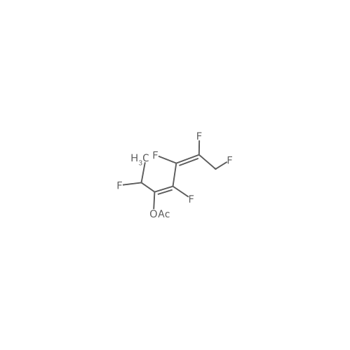 CC(=O)O/C(=C(F)/C(F)=C(/F)CF)C(C)F